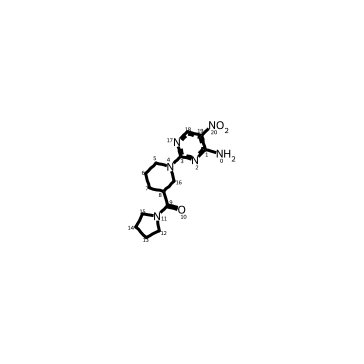 Nc1nc(N2CCCC(C(=O)N3CCCC3)C2)ncc1[N+](=O)[O-]